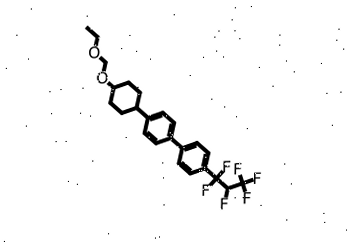 CCOCOC1CCC(c2ccc(-c3ccc(C(F)(F)C(F)C(F)(F)F)cc3)cc2)CC1